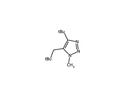 Cn1nnc(C(C)(C)C)c1CC(C)(C)C